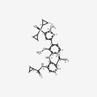 COc1c(-c2cc(P(=O)(C3CC3)C3CC3)n(C)n2)ccnc1Nc1c(NC(=O)C2CC2)cnnc1C(N)=O